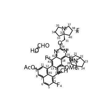 C#Cc1c(F)ccc2cc(OC(C)=O)cc(-c3c(F)c(OC)c4c(N5CC6CCC(C5)N6)nc(OC[C@@]56CCCN5C[C@H](F)C6)nc4c3F)c12.O=CO